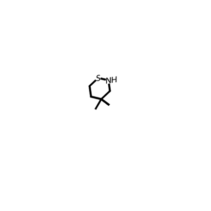 CC1(C)CCSNC1